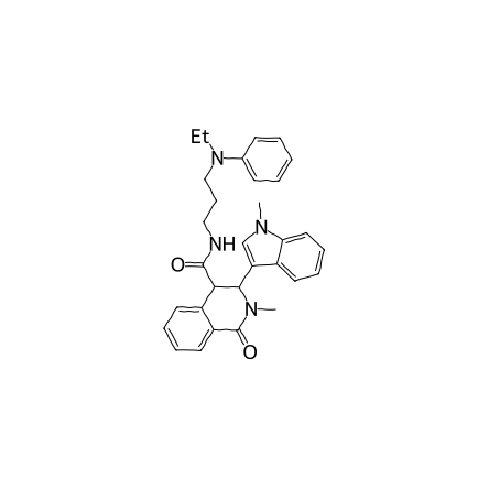 CCN(CCCNC(=O)C1c2ccccc2C(=O)N(C)C1c1cn(C)c2ccccc12)c1ccccc1